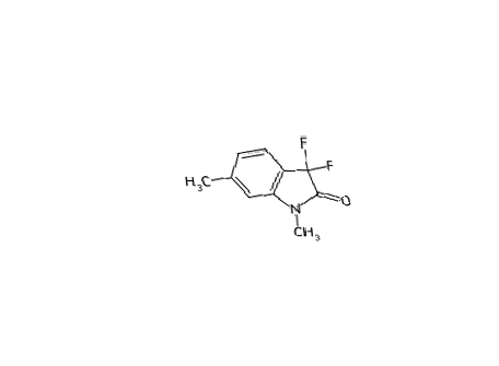 Cc1ccc2c(c1)N(C)C(=O)C2(F)F